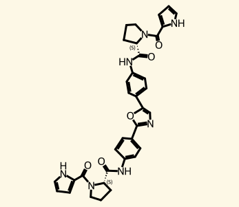 O=C(Nc1ccc(-c2cnc(-c3ccc(NC(=O)[C@@H]4CCCN4C(=O)c4ccc[nH]4)cc3)o2)cc1)[C@@H]1CCCN1C(=O)c1ccc[nH]1